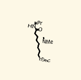 CCCCCCCCCCCCCCCCCC(=O)NCCC.CNC